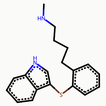 CNCCCCc1ccccc1Sc1c[nH]c2ccccc12